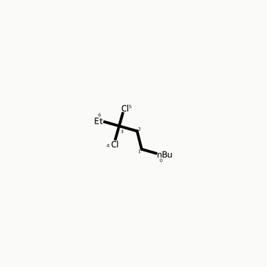 CCCCCCC(Cl)(Cl)CC